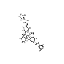 Cc1nc(COc2ccc(C(O)c3c(-c4ccc(OCCN5CCCC5)cc4)sc4ccccc34)cc2)cs1